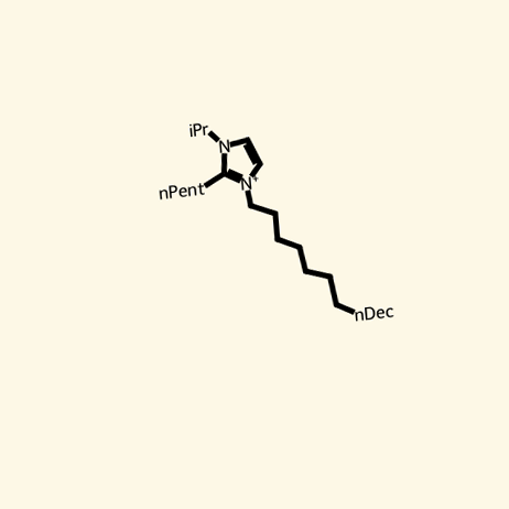 CCCCCCCCCCCCCCCCC[n+]1ccn(C(C)C)c1CCCCC